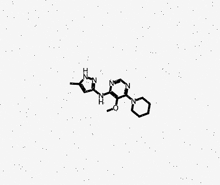 COc1c(Nc2cc(C)[nH]n2)ncnc1N1CCCCC1